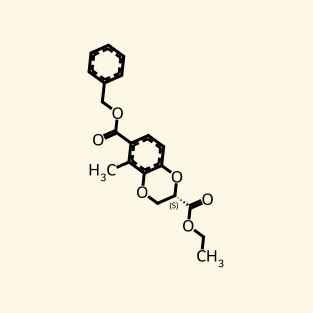 CCOC(=O)[C@@H]1COc2c(ccc(C(=O)OCc3ccccc3)c2C)O1